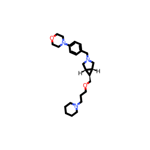 c1cc(N2CCOCC2)ccc1CN1C[C@@H]2[C@@H](COCCCN3CCCCC3)[C@@H]2C1